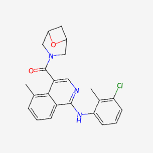 Cc1c(Cl)cccc1Nc1ncc(C(=O)N2CC3CC(C2)O3)c2c(C)cccc12